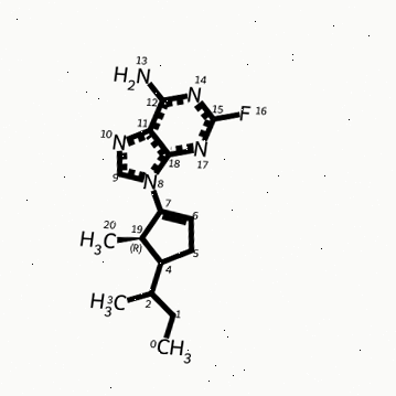 CCC(C)C1CC=C(n2cnc3c(N)nc(F)nc32)[C@@H]1C